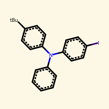 CC(C)(C)c1ccc(N(c2ccccc2)c2ccc(I)cc2)cc1